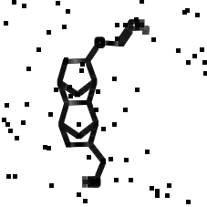 C=COC1CC2CC1C1C3CC(CC3CO)C21